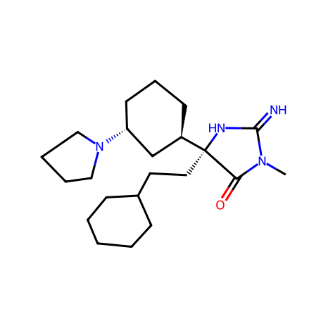 CN1C(=N)N[C@](CCC2CCCCC2)([C@@H]2CCC[C@@H](N3CCCC3)C2)C1=O